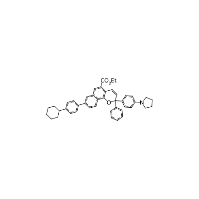 CCOC(=O)c1cc2cc(-c3ccc(C4CCCCC4)cc3)ccc2c2c1C=CC(c1ccccc1)(c1ccc(N3CCCC3)cc1)O2